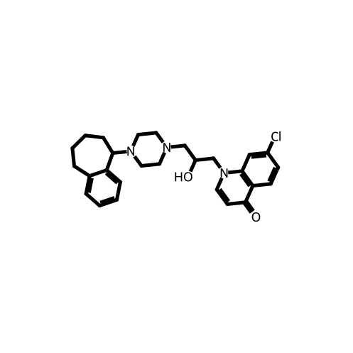 O=c1ccn(CC(O)CN2CCN(C3CCCCc4ccccc43)CC2)c2cc(Cl)ccc12